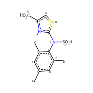 Cc1cc(C)c(N(c2nc(C(=O)O)cs2)S(=O)(=O)O)c(C)c1